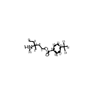 CCC(C)(CCOC(=O)c1ccc(C(C)(C)C)cc1)NC